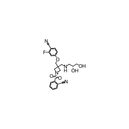 N#Cc1ccc(OCC2(CNC[C@@H](O)CO)CN(S(=O)(=O)c3ccccc3C#N)C2)cc1F